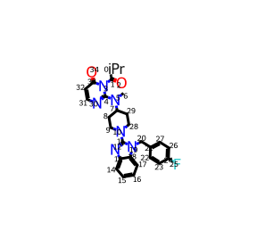 CC(C)C(=O)n1c(N(C)C2CCN(c3nc4ccccc4n3Cc3ccc(F)cc3)CC2)nccc1=O